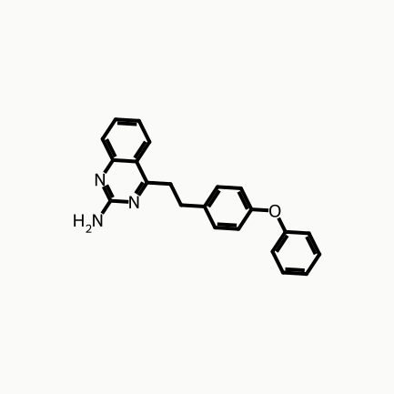 Nc1nc(CCc2ccc(Oc3ccccc3)cc2)c2ccccc2n1